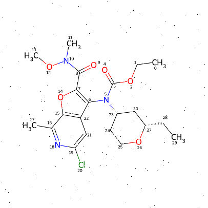 CCOC(=O)N(c1c(C(=O)N(C)OC)oc2c(C)nc(Cl)cc12)[C@H]1CCO[C@@H](CC)C1